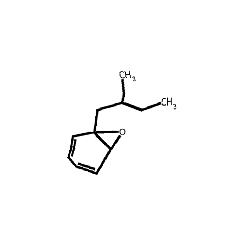 CCC(C)CC12C=CC=CC1O2